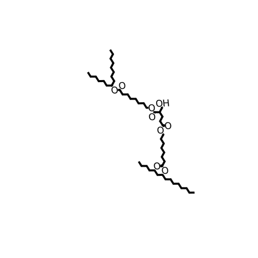 CCCCCCCCC(CCCCCC)OC(=O)CCCCCCCOC(=O)CCC(CO)C(=O)OCCCCCCCC(=O)OC(CCCCCC)CCCCCCCC